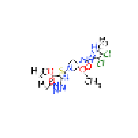 CCCO[C@H]1CN(c2nc(-c3ncnn3C)c(C(=O)OC)s2)CC[C@H]1NC(=O)c1[nH]c(C)c(Cl)c1Cl